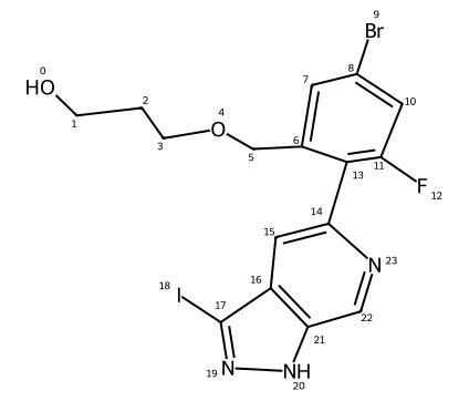 OCCCOCc1cc(Br)cc(F)c1-c1cc2c(I)n[nH]c2cn1